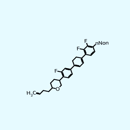 C=CCCC1CCC(c2ccc(C3=CC=C(c4ccc(CCCCCCCCC)c(F)c4F)CC3)cc2F)CO1